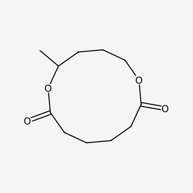 CC1CCCOC(=O)CCCCC(=O)O1